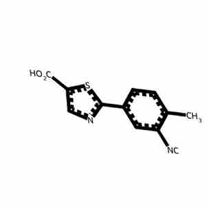 [C-]#[N+]c1cc(-c2ncc(C(=O)O)s2)ccc1C